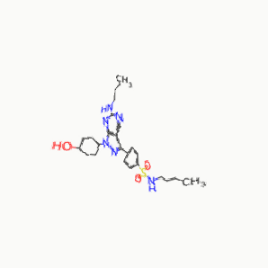 CCCCNc1ncc2c(-c3ccc(S(=O)(=O)NCCCC)cc3)nn(C3CCC(O)CC3)c2n1